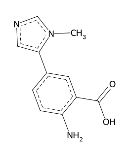 Cn1cncc1-c1ccc(N)c(C(=O)O)c1